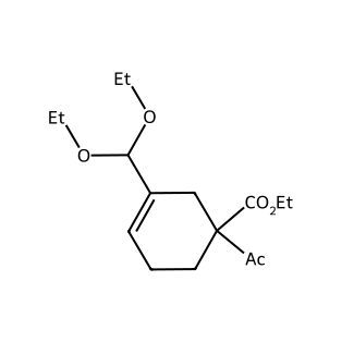 CCOC(=O)C1(C(C)=O)CCC=C(C(OCC)OCC)C1